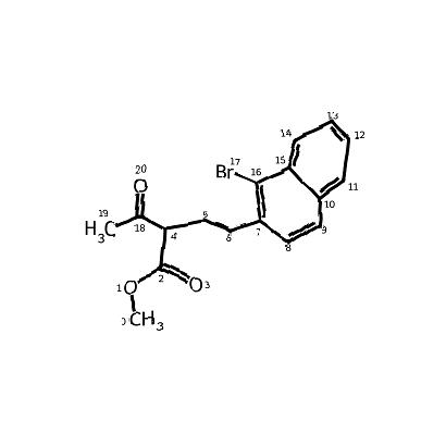 COC(=O)C(CCc1ccc2ccccc2c1Br)C(C)=O